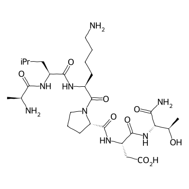 CC(C)C[C@H](NC(=O)[C@H](C)N)C(=O)N[C@@H](CCCCN)C(=O)N1CCC[C@H]1C(=O)N[C@@H](CC(=O)O)C(=O)N[C@H](C(N)=O)[C@@H](C)O